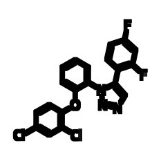 Fc1ccc(-c2cnnn2-c2ccccc2Oc2ccc(Cl)cc2Cl)c(F)c1